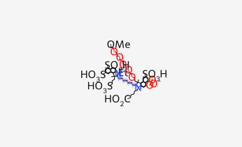 CC[N+]1=C(/C=C/C=C/C=C/C=C2/N(CCCCCC(=O)O)c3ccc4c(S(=O)(=O)[O-])cc(S(=O)(=O)O)cc4c3C2(C)CCOCCOCCOCCOCCOCCOC)C(C)(CCCS(=O)(=O)O)c2c1ccc1c(S(=O)(=O)O)cc(S(=O)(=O)O)cc21